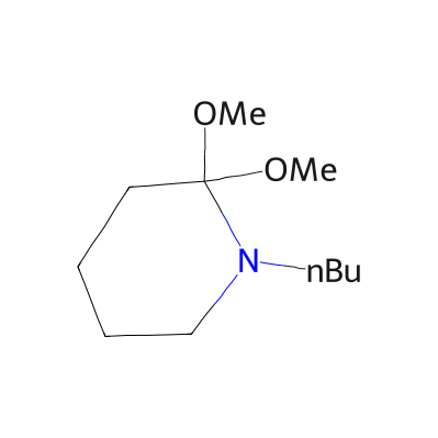 CCCCN1CCCCC1(OC)OC